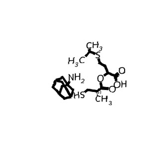 CC(C)SCCC(OC(=O)[C@H](C)CS)C(=O)O.NC12CC3CC(CC(C3)C1)C2